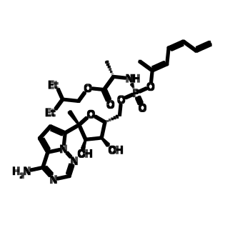 C=C/C=C\C=C(/C)O[P@](=O)(N[C@@H](C)C(=O)OCC(CC)CC)OC[C@H]1O[C@@](C)(c2ccc3c(N)ncnn23)[C@H](O)[C@@H]1O